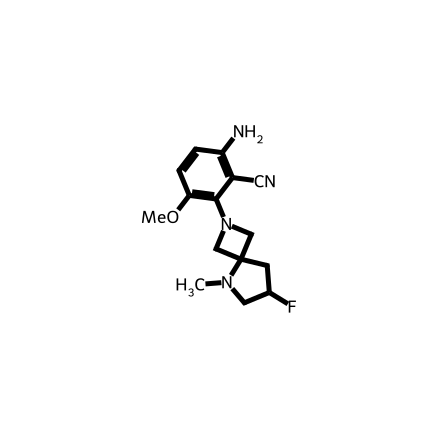 COc1ccc(N)c(C#N)c1N1CC2(CC(F)CN2C)C1